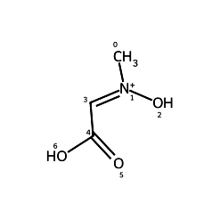 C[N+](O)=CC(=O)O